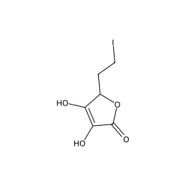 O=C1OC(CCI)C(O)=C1O